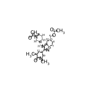 CC(=O)OCc1ccc2nc(-c3cc(C)c(=O)n(C)c3)n(C[C@H]3CCCN(C(C)=O)C3)c2c1